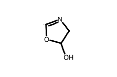 OC1CN=[C]O1